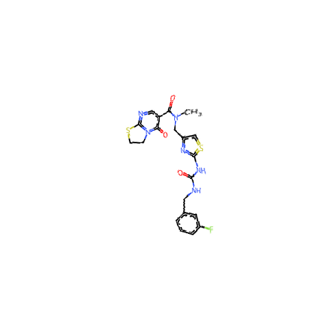 CN(Cc1csc(NC(=O)NCc2cccc(F)c2)n1)C(=O)c1cnc2n(c1=O)CCS2